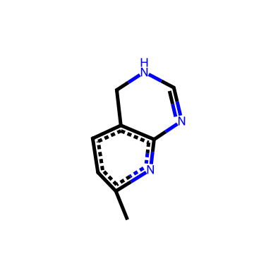 Cc1ccc2c(n1)N=CNC2